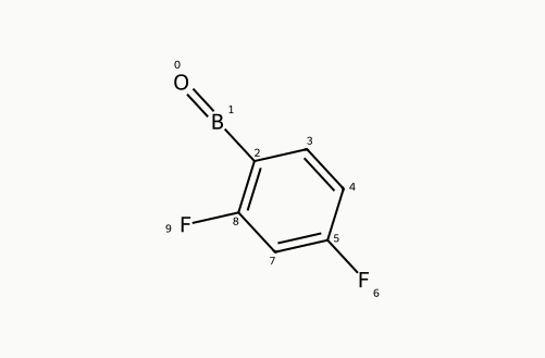 O=Bc1ccc(F)cc1F